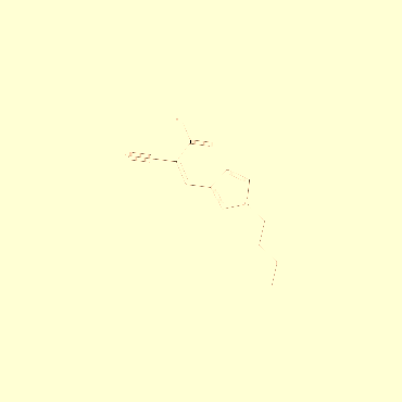 CCCCn1ccc(C=C(C#N)C(=O)O)c1